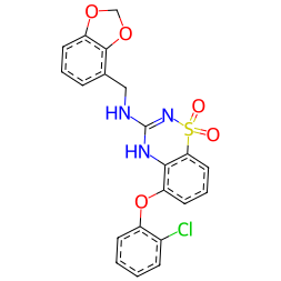 O=S1(=O)N=C(NCc2cccc3c2OCO3)Nc2c(Oc3ccccc3Cl)cccc21